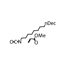 C=CC(=O)OC.CCCCCCCCCCCCCCCCCCN=C=O